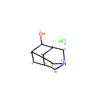 Cl.OC1C2CC3CC1CN(C3)C2